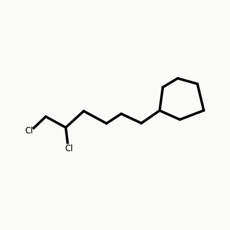 ClCC(Cl)CCCCC1CCCCC1